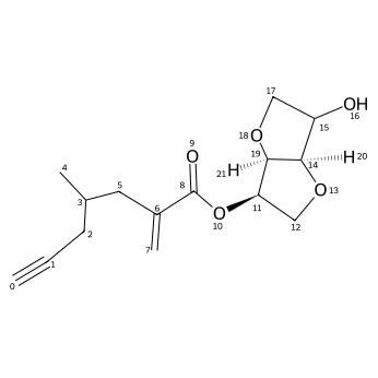 C#CCC(C)CC(=C)C(=O)O[C@@H]1CO[C@@H]2C(O)CO[C@@H]21